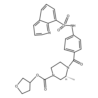 C[C@@H]1CN(C(=O)OC2CCOC2)CCN1C(=O)c1ccc(NS(=O)(=O)c2cccc3cccnc23)cc1